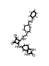 O=c1[nH]c2ccc(Nc3c(NCCN4CCC(COc5ccccc5)CC4)c(=O)c3=O)cc2[nH]1